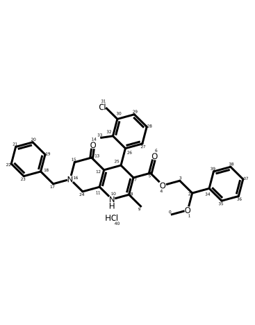 COC(COC(=O)C1=C(C)NC2=C(C(=O)CN(Cc3ccccc3)C2)C1c1cccc(Cl)c1C)c1ccccc1.Cl